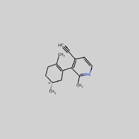 C#Cc1ccnc(C)c1C1=C(C)CC[C@@H](C)C1